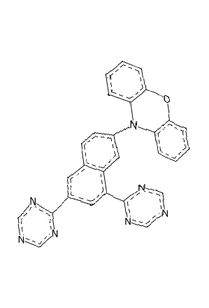 c1ccc2c(c1)Oc1ccccc1N2c1ccc2cc(-c3ncncn3)cc(-c3ncncn3)c2c1